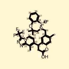 Cc1ccc(C(CC(=O)O)c2ccn3c(C(F)(F)F)nnc3c2C)cc1CN1CC(C)(C)Oc2ccccc2[S+]1[O-]